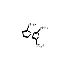 CCCCCCc1ccc(C(=O)O)s1.CCCCCCc1cccs1